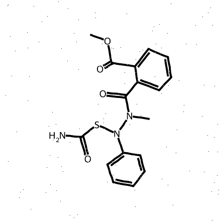 COC(=O)c1ccccc1C(=O)N(C)N(SC(N)=O)c1ccccc1